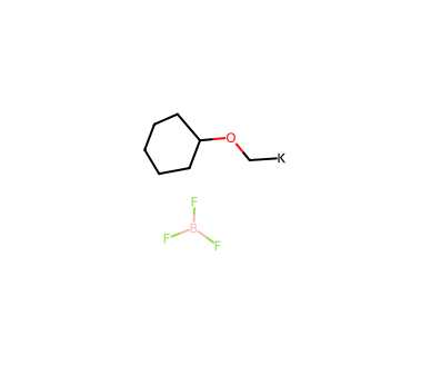 FB(F)F.[K][CH2]OC1CCCCC1